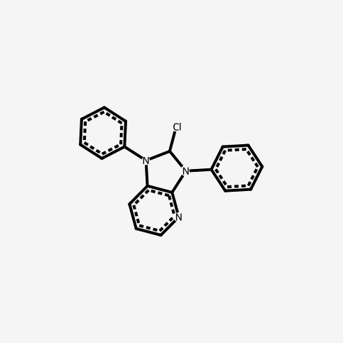 ClC1N(c2ccccc2)c2cccnc2N1c1ccccc1